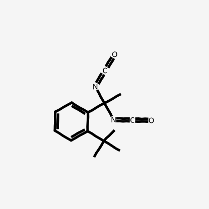 CC(C)(C)c1ccccc1C(C)(N=C=O)N=C=O